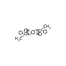 C=CCC(CNCc1ccc(CNCC(CC=C)(c2ccccc2)c2ccccc2)cc1)(c1ccccc1)c1ccccc1